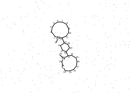 CN1CCCCCCCCCCC1C1CCC(C2CCCCCCCCCN2C)CC1